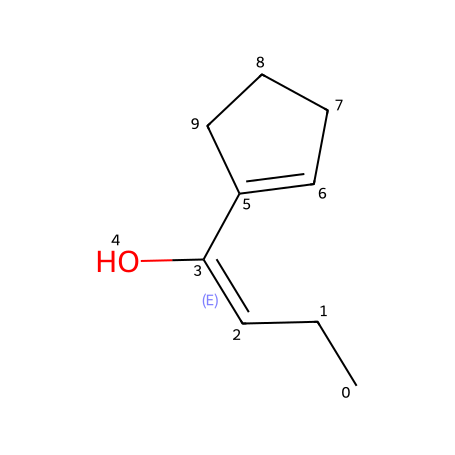 CC/C=C(/O)C1=CCCC1